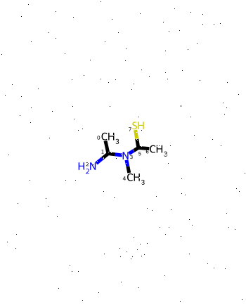 CC(N)N(C)C(C)S